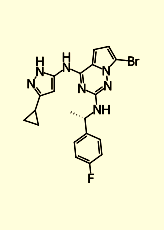 C[C@H](Nc1nc(Nc2cc(C3CC3)n[nH]2)c2ccc(Br)n2n1)c1ccc(F)cc1